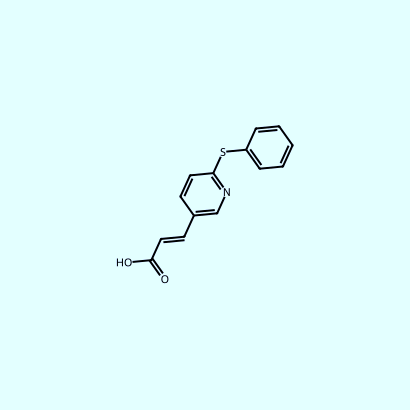 O=C(O)C=Cc1ccc(Sc2ccccc2)nc1